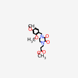 COC(=O)CCN1CCN(Cc2ccc(OC)cc2OC)C(=O)C1=O